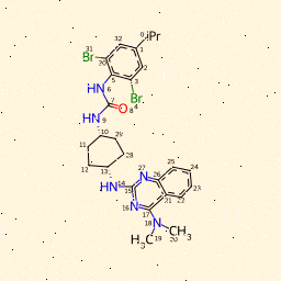 CC(C)c1cc(Br)c(NC(=O)N[C@H]2CC[C@@H](Nc3nc(N(C)C)c4ccccc4n3)CC2)c(Br)c1